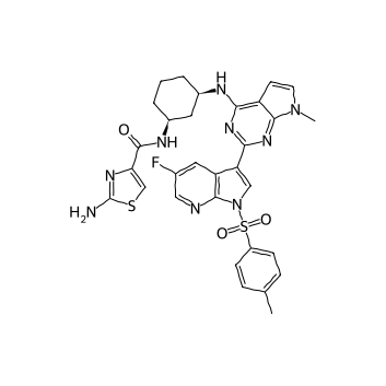 Cc1ccc(S(=O)(=O)n2cc(-c3nc(N[C@@H]4CCC[C@H](NC(=O)c5csc(N)n5)C4)c4ccn(C)c4n3)c3cc(F)cnc32)cc1